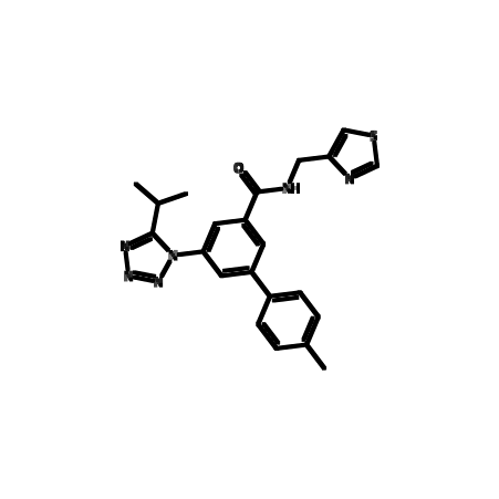 Cc1ccc(-c2cc(C(=O)NCc3cscn3)cc(-n3nnnc3C(C)C)c2)cc1